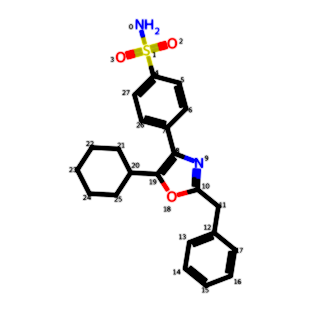 NS(=O)(=O)c1ccc(-c2nc(Cc3ccccc3)oc2C2CCCCC2)cc1